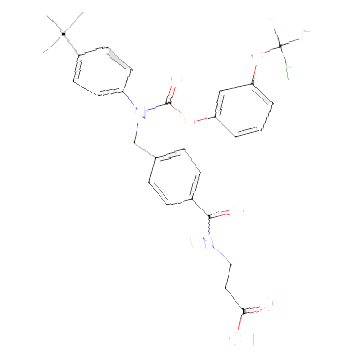 CC(C)(C)c1ccc(N(Cc2ccc(C(=O)NCCC(=O)O)cc2)C(=O)Oc2cccc(OC(F)(F)F)c2)cc1